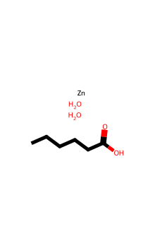 CCCCCC(=O)O.O.O.[Zn]